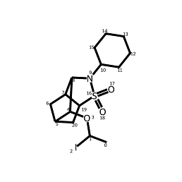 CC(I)OC1C2CC3C1N(C1CCCCC1)S(=O)(=O)C3C2